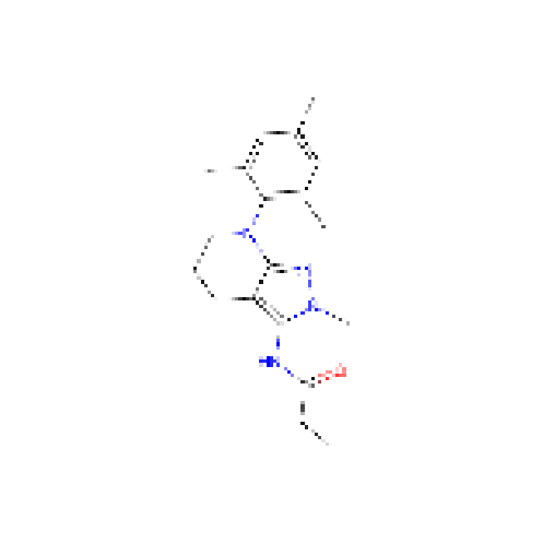 CCC(=O)Nc1c2c(nn1C)N(c1c(C)cc(C)cc1C)CCC2